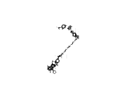 CC[C@@H]1C(=O)N(C)c2cnc(N(C)c3ccc(C(=O)NCCOCCOCCOCCOCCN(C)c4ncc(C(=O)N[C@H]5C(C)(C)[C@H](Oc6ccc(C#N)c(Cl)c6)C5(C)C)cn4)cc3OC)nc2N1C1CCCC1